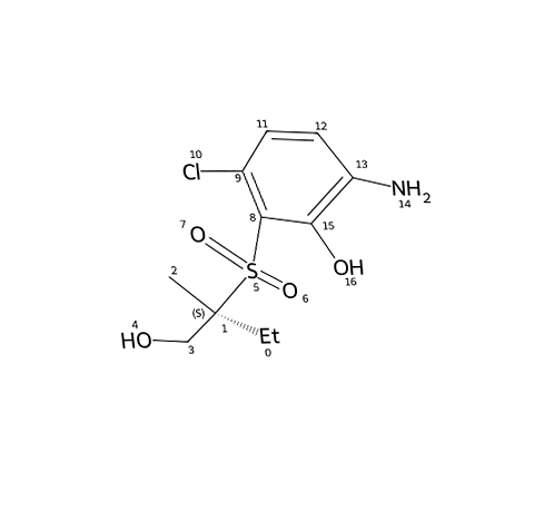 CC[C@@](C)(CO)S(=O)(=O)c1c(Cl)ccc(N)c1O